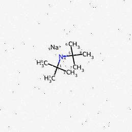 CC(C)(C)[N-]C(C)(C)C.[Na+]